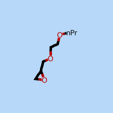 [CH2]CCOCCOCC1CO1